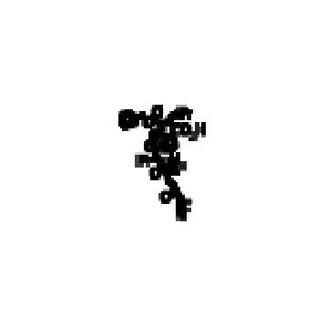 CC(C)C[C@@H](C(=O)O)N(C(=O)OCc1ccccc1)C(=O)[C@@H]1CCCN1C(=O)[C@@H](NC(=O)[C@@H](N)CCC(=O)C=[N+]=[N-])C(C)C